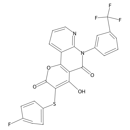 O=c1oc2c(c(O)c1Sc1ccc(F)cc1)c(=O)n(-c1cccc(C(F)(F)F)c1)c1ncccc21